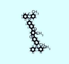 Cc1cccc(N(c2ccccc2)c2ccc3cc4c(cc3c2)oc2c(C)c3c(cc24)oc2cc4cc(N(c5ccccc5)c5cccc(C)c5C)ccc4cc23)c1C